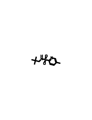 Cc1ccc(S(=O)(=O)NCC(C)(C)C)nc1